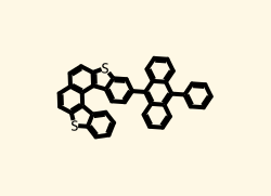 c1ccc(-c2c3ccccc3c(-c3ccc4c(c3)sc3ccc5ccc6sc7ccccc7c6c5c34)c3ccccc23)cc1